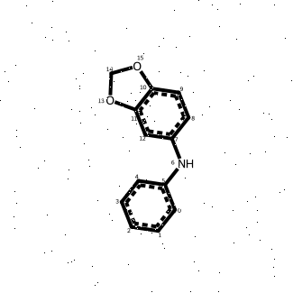 [c]1ccccc1Nc1ccc2c(c1)OCO2